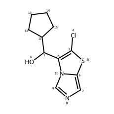 OC(c1c(Cl)sc2cncn12)C1CCCC1